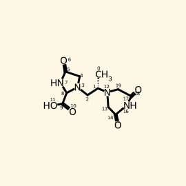 C[C@@H](CN1CC(=O)NC1C(=O)O)N1CC(=O)NC(=O)C1